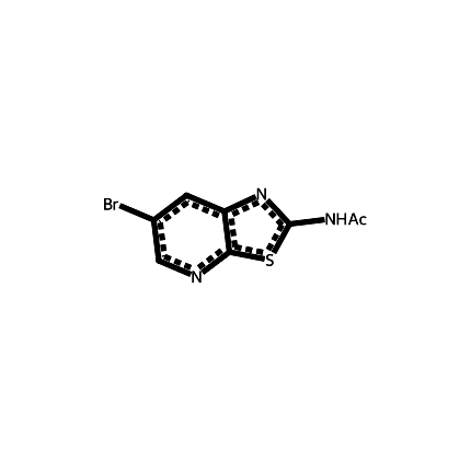 CC(=O)Nc1nc2cc(Br)cnc2s1